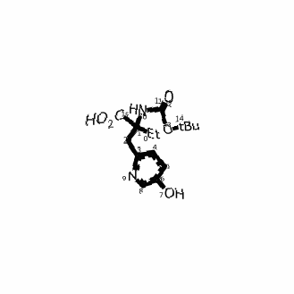 CCC(Cc1ccc(O)cn1)(NC(=O)OC(C)(C)C)C(=O)O